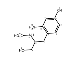 N#Cc1ccc(CC(CO)NC(=O)O)c(N)c1